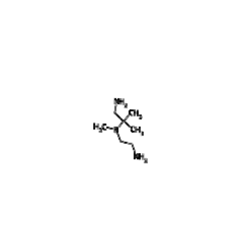 CB(CCN)C(C)(C)CN